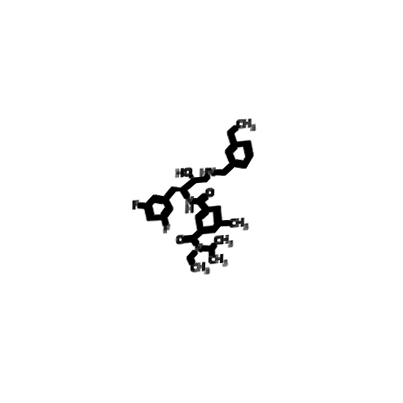 CCc1cccc(CNC[C@@H](O)[C@H](Cc2cc(F)cc(F)c2)NC(=O)c2cc(C)cc(C(=O)N(CC)C(C)C)c2)c1